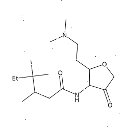 [CH2]CC(C)(C)C(C)CC(=O)NC1C(=O)COC1CCN(C)C